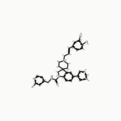 O=C(NCc1ccnc(F)c1)N1CC2(CCN(CC=Cc3ccc(Cl)c(Cl)c3)CC2)c2cc(-c3cncnc3)ccc21